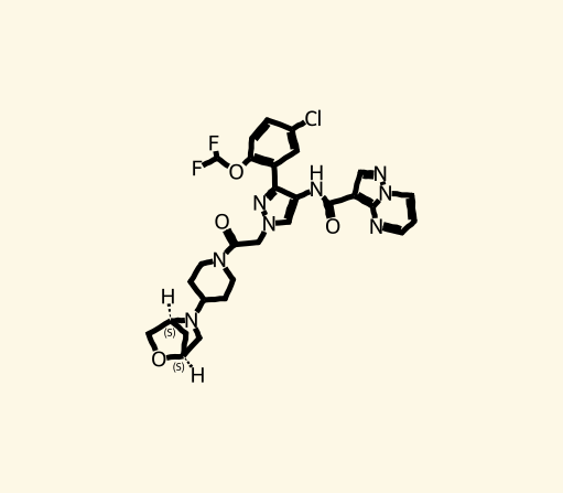 O=C(Nc1cn(CC(=O)N2CCC(N3C[C@@H]4C[C@H]3CO4)CC2)nc1-c1cc(Cl)ccc1OC(F)F)c1cnn2cccnc12